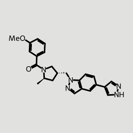 COc1cccc(C(=O)N2C[C@H](Cn3ncc4cc(-c5cn[nH]c5)ccc43)C[C@H]2C)c1